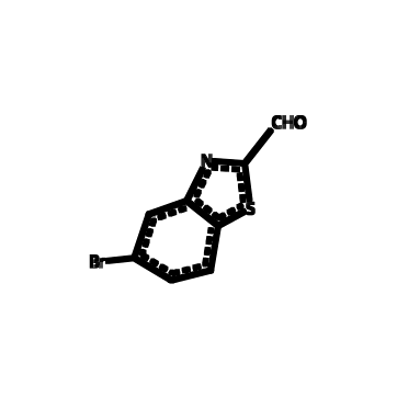 O=Cc1nc2cc(Br)ccc2s1